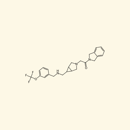 O=C(CN1CC2C(CNCc3cccc(OC(F)(F)F)c3)C2C1)N1Cc2ccccc2C1